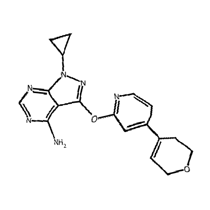 Nc1ncnc2c1c(Oc1cc(C3=CCOCC3)ccn1)nn2C1CC1